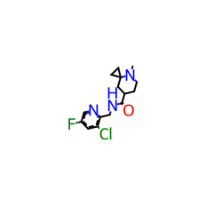 CN1CCC(C(=O)NCc2ncc(F)cc2Cl)CC12CC2